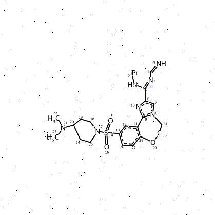 CC(C)N/C(=N\C=N)c1cn2c(n1)-c1cc(S(=O)(=O)N3CCC(N(C)C)CC3)ccc1OCC2